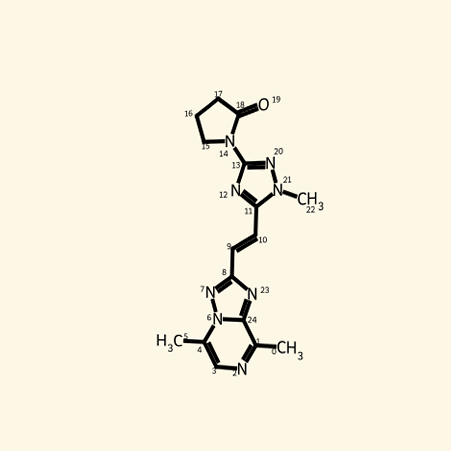 Cc1ncc(C)n2nc(C=Cc3nc(N4CCCC4=O)nn3C)nc12